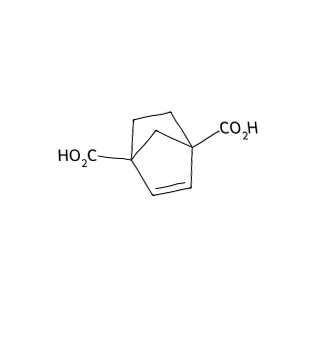 O=C(O)C12C=CC(C(=O)O)(CC1)C2